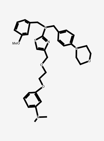 COc1cccc(CN(Cc2ccc(N3CCOCC3)cc2)c2nc(COCCOc3cccc(N(C)C)c3)cs2)c1